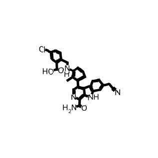 Cc1c(NCc2ccc(Cl)cc2C(=O)O)cccc1-c1cnc(C(N)=O)c2[nH]c3cc(CC#N)ccc3c12